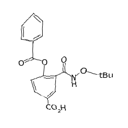 CC(C)(C)ONC(=O)c1cc(C(=O)O)ccc1OC(=O)c1ccccc1